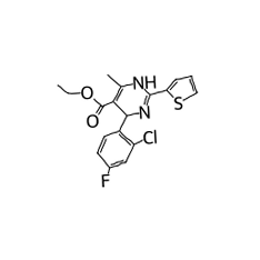 CCOC(=O)C1=C(C)NC(c2cccs2)=NC1c1ccc(F)cc1Cl